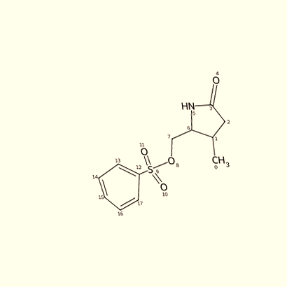 CC1CC(=O)NC1COS(=O)(=O)c1ccccc1